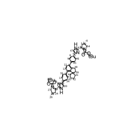 C[C@H]1C[C@@H](c2nc(-c3ccc(-c4ccc(-c5ccc(-c6c[nH]c([C@@H]7C[C@H](C)CN7C(=O)OC(C)(C)C)n6)cc5)c5c4CCC54CCCC4)cc3)c[nH]2)N(C(=O)OC(C)(C)C)C1